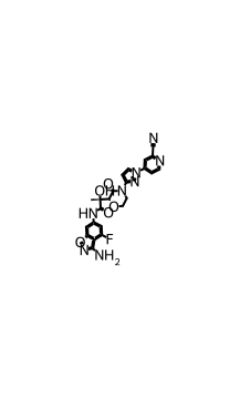 C[C@](O)(C(=O)Nc1cc(F)c2c(N)noc2c1)[C@H]1OCCN(c2ccn(-c3ccnc(C#N)c3)n2)C1=O